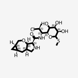 CSC1O[C@H]([C@H](NC(=O)[C@H]2NC[C@H]3C[C@H]4C[C@H]4CO[C@H]32)[C@H](C)Cl)C(O)[C@@H](O)[C@H]1O